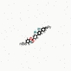 CCCCc1ccc(OC(=O)C2CCC(c3ccc(-c4ccc(CCC)cc4)c(F)c3F)CC2)c(F)c1